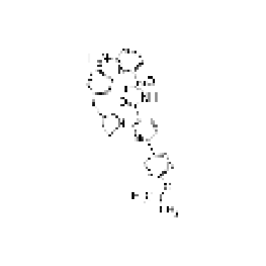 CC(C)Oc1ccc(-c2ccc(C(=O)NS(=O)(=O)c3cccc(N)n3)c(N3CCC(Cc4ccccc4)C3)n2)cn1